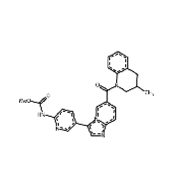 COC(=O)Nc1ccc(-c2cnc3ccc(C(=O)N4CC(C)Cc5ccccc54)cn23)cn1